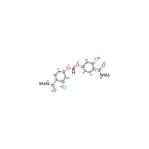 CNC(=O)c1ccc(OBOc2ccc(C(=O)NC)c(Cl)c2)cc1Cl